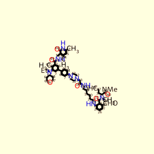 CCN(c1cc(-c2ccc(N3CCN(CC(=O)NCCCCCCNc4cccc(C=O)c4C(=O)N(C)C(CCC=O)C(=O)NC)CC3)cc2)cc(C(=O)NCc2c(C)cc(C)[nH]c2=O)c1C)C1CCOCC1